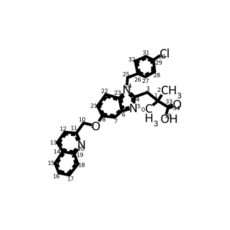 CC(C)(Cc1nc2cc(OCc3ccc4ccccc4n3)ccc2n1Cc1ccc(Cl)cc1)C(=O)O